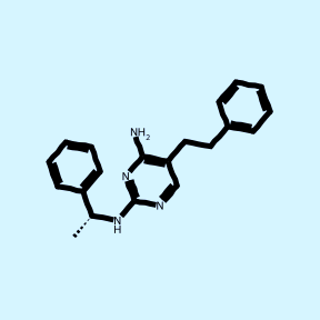 C[C@@H](Nc1ncc(CCc2ccccc2)c(N)n1)c1ccccc1